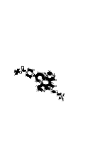 CC(C)(C)OC(=O)N1CCN(C2CCCN(c3ccnc4c3c(-c3cncnc3)cn4COCC[Si](C)(C)C)C2)CC1